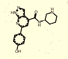 O=C(N[C@@H]1CCCNC1)c1cc(-c2ccc(O)cc2)nc2[nH]ncc12